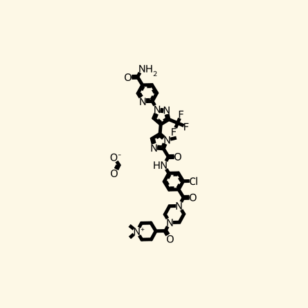 Cn1c(-c2cn(-c3ccc(C(N)=O)cn3)nc2C(F)(F)F)cnc1C(=O)Nc1ccc(C(=O)N2CCN(C(=O)C3CC[N+](C)(C)CC3)CC2)c(Cl)c1.O=C[O-]